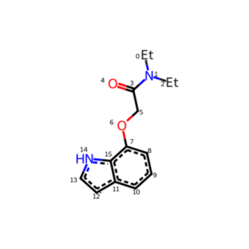 CCN(CC)C(=O)COc1cccc2[c]c[nH]c12